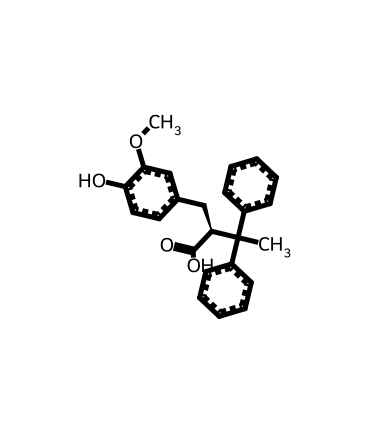 COc1cc(C[C@H](C(=O)O)C(C)(c2ccccc2)c2ccccc2)ccc1O